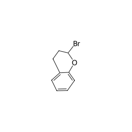 BrC1CCc2ccccc2O1